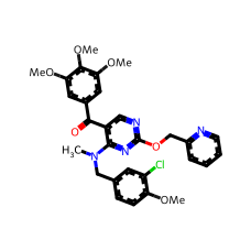 COc1ccc(CN(C)c2nc(OCc3ccccn3)ncc2C(=O)c2cc(OC)c(OC)c(OC)c2)cc1Cl